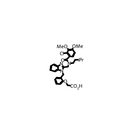 COc1ccc(C(=O)N(CCC(C)C)Cc2nc3ccccc3n2Cc2ccccc2OCC(=O)O)c(Cl)c1OC